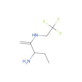 C=C(NCC(F)(F)F)C(N)CC